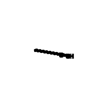 C=CCCCCCCCCCCCCCCOCCCO